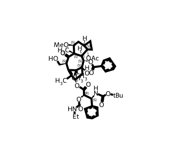 CCNC(=O)O[C@@H](C(=O)O[C@H]1C[C@@]2(O)[C@@H](OC(=O)c3ccccc3)[C@@H]3[C@]4(OC(C)=O)CC[C@@H]4C[C@H](OC)[C@@]3(C)C(=O)[C@H](CO)C(=C1C)C2(C)C)[C@@H](NC(=O)OC(C)(C)C)c1ccccc1